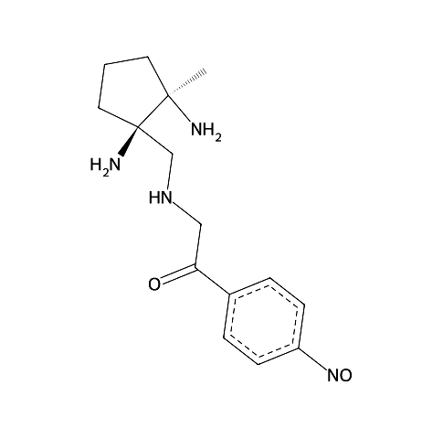 C[C@@]1(N)CCC[C@@]1(N)CNCC(=O)c1ccc(N=O)cc1